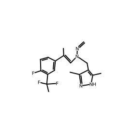 C=NN(/C=C(\C)c1ccc(F)c(C(C)(F)F)c1)Cc1c(C)n[nH]c1C